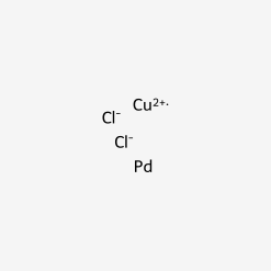 [Cl-].[Cl-].[Cu+2].[Pd]